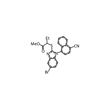 CCC(Sc1nc2cc(Br)ccc2n1-c1ccc(C#N)c2ccccc12)C(=O)OC